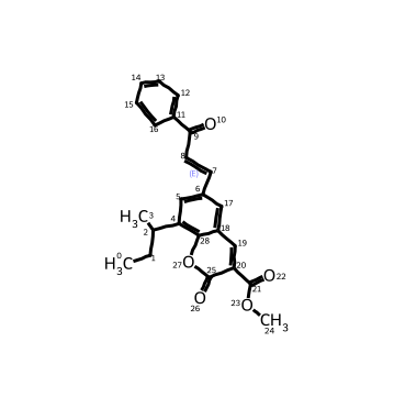 CCC(C)c1cc(/C=C/C(=O)c2ccccc2)cc2cc(C(=O)OC)c(=O)oc12